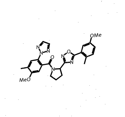 COc1ccc(C)c(-c2nc(C3CCCN3C(=O)c3cc(OC)c(C)cc3-n3nccn3)no2)c1